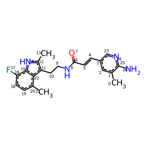 Cc1cc(/C=C/C(=O)NCCc2c(C)[nH]c3c(F)ccc(C)c23)cnc1N